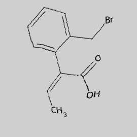 CC=C(C(=O)O)c1ccccc1CBr